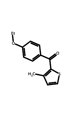 CCOc1ccc(C(=O)c2sccc2C)cc1